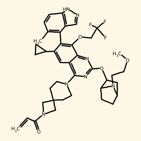 C=CC(=O)N1CC2(CCN(c3nc(OC4CC5CCC4N5CCOC)nc4c(OCC(F)(F)F)c(-c5c(C)ccc6[nH]ncc56)c(C5CC5)cc34)CC2)C1